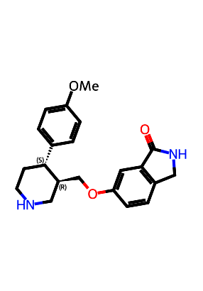 COc1ccc([C@H]2CCNC[C@@H]2COc2ccc3c(c2)C(=O)NC3)cc1